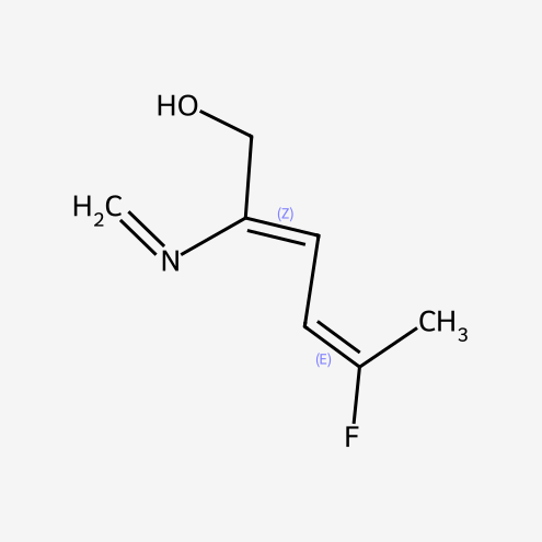 C=N/C(=C\C=C(/C)F)CO